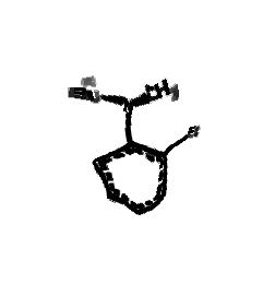 CCc1ccccc1N(C)[C@H](C)CC